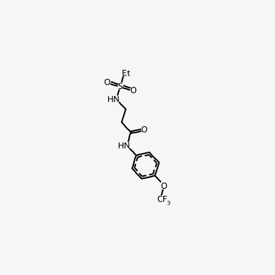 CCS(=O)(=O)NCCC(=O)Nc1ccc(OC(F)(F)F)cc1